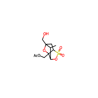 CC(=O)OCC12OC3(CO)CC1S(=O)(=O)OC2C3C